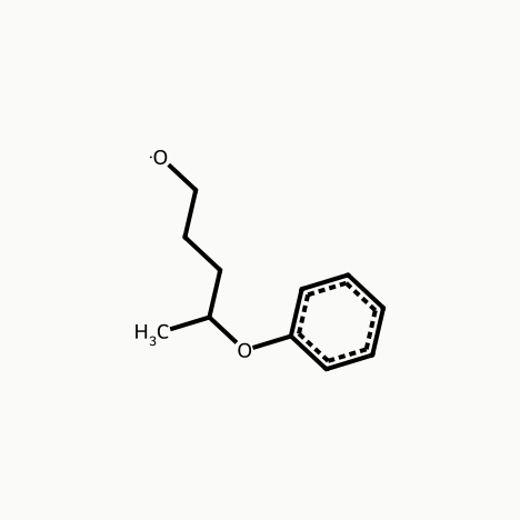 CC(CCC[O])Oc1ccccc1